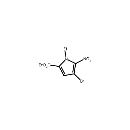 CCOC(=O)c1cc(Br)c([N+](=O)[O-])n1CC